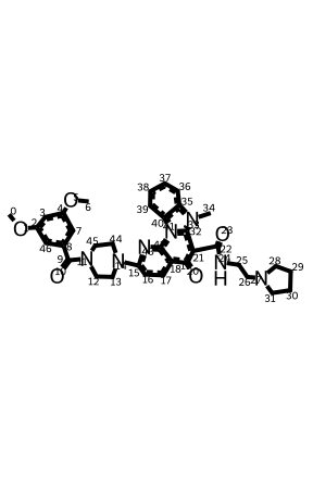 COc1cc(OC)cc(C(=O)N2CCN(c3ccc4c(=O)c(C(=O)NCCN5CCCC5)c5n(C)c6ccccc6n5c4n3)CC2)c1